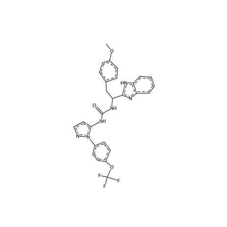 COc1ccc(CC(NC(=O)Nc2ccnn2-c2ccc(OC(F)(F)F)cc2)c2nc3ccccc3[nH]2)cc1